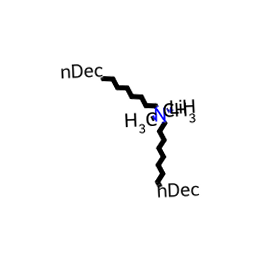 CCCCCCCCCCCCCCCCCC[N+](C)(C)CCCCCCCCCCCCCCCCCC.[LiH]